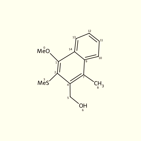 COc1c(SC)c(CO)c(C)c2ccccc12